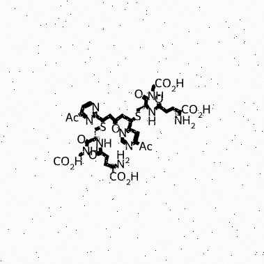 CC(=O)c1cc(C(CC(=O)CC(SC[C@H](NC(=O)CC[C@@H](N)C(=O)O)C(=O)NCC(=O)O)c2nccc(C(C)=O)n2)SC[C@H](NC(=O)CC[C@H](N)C(=O)O)C(=O)NCC(=O)O)ncn1